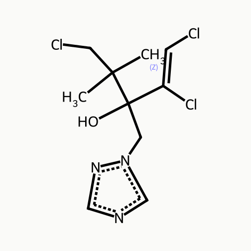 CC(C)(CCl)C(O)(Cn1cncn1)/C(Cl)=C/Cl